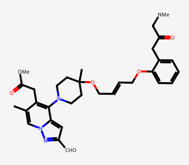 CNCC(=O)Cc1ccccc1OC/C=C/COC1(C)CCN(c2c(CC(=O)OC)c(C)cn3nc(C=O)cc23)CC1